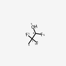 CC(F)(F)C(O)F